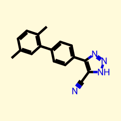 Cc1ccc(C)c(-c2ccc(-c3nn[nH]c3C#N)cc2)c1